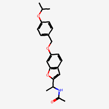 CC(=O)NC(C)c1cc2ccc(OCc3ccc(OC(C)C)cc3)cc2o1